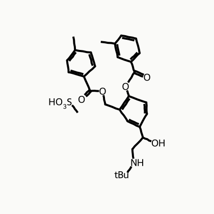 CS(=O)(=O)O.Cc1ccc(C(=O)OCc2cc(C(O)CNC(C)(C)C)ccc2OC(=O)c2cccc(C)c2)cc1